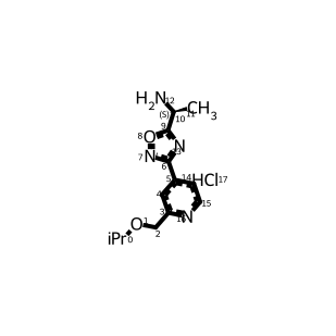 CC(C)OCc1cc(-c2noc([C@H](C)N)n2)ccn1.Cl